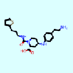 NCCc1ccc(NC2CCN(C(=O)NCCCc3cccs3)CC2)cc1.O=CO